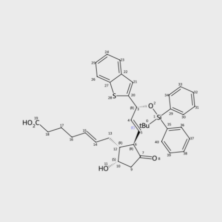 CC(C)(C)[Si](O[C@H](/C=C/[C@H]1C(=O)C[C@H](O)[C@@H]1CC=CCCCC(=O)O)c1cc2ccccc2s1)(c1ccccc1)c1ccccc1